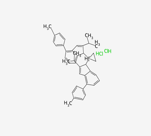 Cc1ccc(-c2cccc3c2C=C(C(C)C)[CH]3[Hf]2([CH]3C(C(C)C)=Cc4c(-c5ccc(C)cc5)cccc43)[CH2][CH2]2)cc1.Cl.Cl